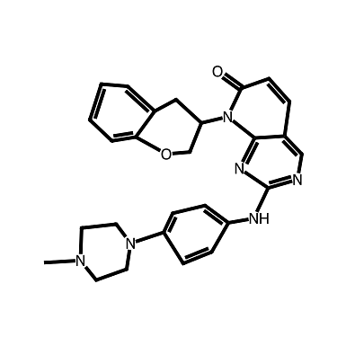 CN1CCN(c2ccc(Nc3ncc4ccc(=O)n(C5COc6ccccc6C5)c4n3)cc2)CC1